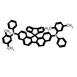 Cc1ccc(C)c(N(c2ccccc2)c2ccc3c4c(ccc3c2)-c2ccc3cc(N(c5ccccc5)c5cc(C)ccc5C)ccc3c2C42c3ccccc3-c3ccccc32)c1